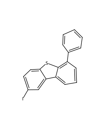 Ic1ccc2sc3c(-c4ccccc4)cccc3c2c1